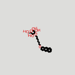 OC[C@H]1OC(O)[C@H](O)[C@@H](OCCCCCCCCOc2ccc3cc4ccccc4cc3c2)[C@@H]1O